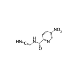 N=C=CNC(=O)c1ccc([N+](=O)[O-])cn1